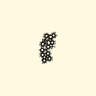 CC1(C)c2cc(N(c3ccccc3)c3cccc(C4(c5ccccc5)c5ccccc5-c5ccccc54)c3)ccc2-c2c1ccc1c3c4ccccc4ccc3n(-c3nc4ccccc4nc3-c3ccccc3)c21